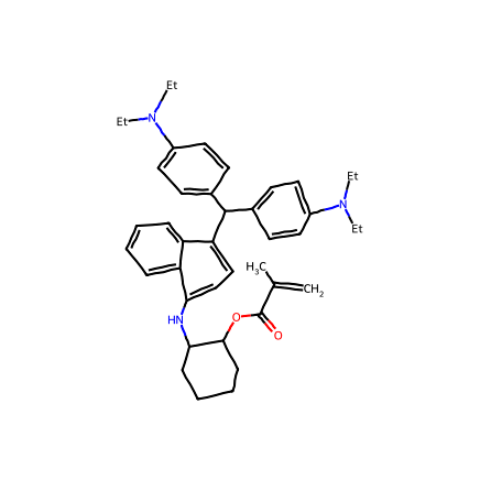 C=C(C)C(=O)OC1CCCCC1Nc1ccc(C(c2ccc(N(CC)CC)cc2)c2ccc(N(CC)CC)cc2)c2ccccc12